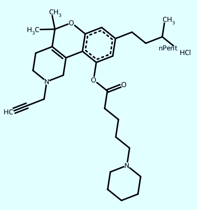 C#CCN1CCC2=C(C1)c1c(OC(=O)CCCCN3CCCCC3)cc(CCC(C)CCCCC)cc1OC2(C)C.Cl